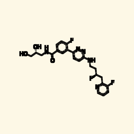 O=C(NC[C@@H](O)CO)c1ccc(F)c(-c2ccc(NCC[C@H](F)Cc3ncccc3F)nn2)c1